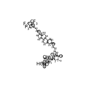 CC1CN([C@H]2C[C@@H](OP(=O)(O)O)C(CO)O2)C(=O)N(CCCCOc2ccc3c(c2)CCC2C3CCC3(C)C(OCCCOC(C(F)(F)F)(C(F)(F)F)C(F)(F)F)CCC23)C1=O